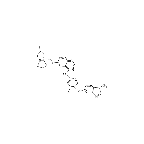 Cc1cc(Nc2ncnc3cnc(OC[C@]45CCCN4C[C@H](F)C5)nc23)ccc1Oc1ccc2c(c1)ncn2C